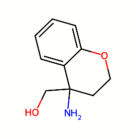 NC1(CO)CCOc2ccccc21